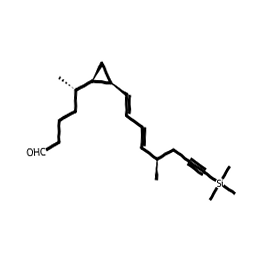 C[C@@H](/C=C/C=C/[C@@H]1C[C@@H]1[C@@H](C)CCCC=O)CC#C[Si](C)(C)C